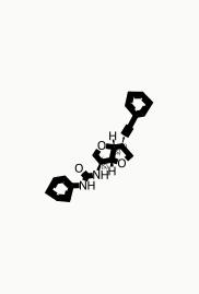 O=C(Nc1ccccc1)N[C@H]1CO[C@@H]2[C@@H]1OC[C@H]2C#Cc1ccccc1